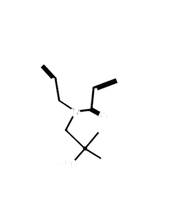 C=CCN(CC(C)(C)CCC)C(=O)C=C